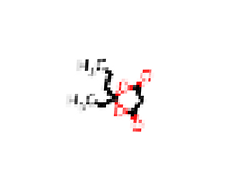 CCCC1(CC)OC(=O)CC(=O)O1